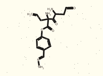 C=CCC(N)(C(=O)Oc1ccc(C=NN)cc1)C(=O)C(N)CC=O